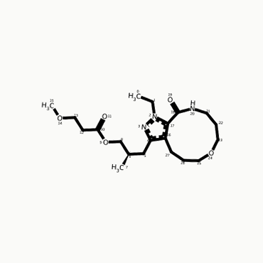 CCn1nc(C[C@@H](C)COC(=O)CCOC)c2c1C(=O)NCCCOCCC2